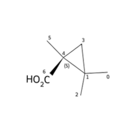 CC1(C)C[C@]1(C)C(=O)O